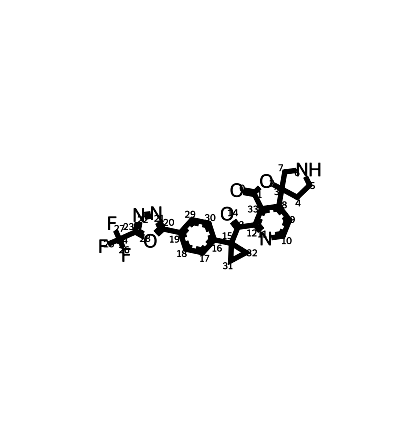 O=C1OC2(CCNC2)c2ccnc(C(=O)C3(c4ccc(-c5nnc(C(F)(F)F)o5)cc4)CC3)c21